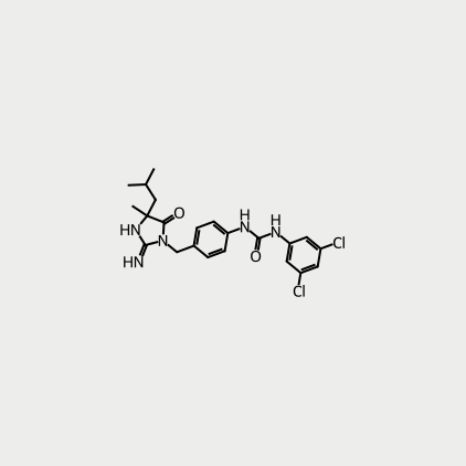 CC(C)CC1(C)NC(=N)N(Cc2ccc(NC(=O)Nc3cc(Cl)cc(Cl)c3)cc2)C1=O